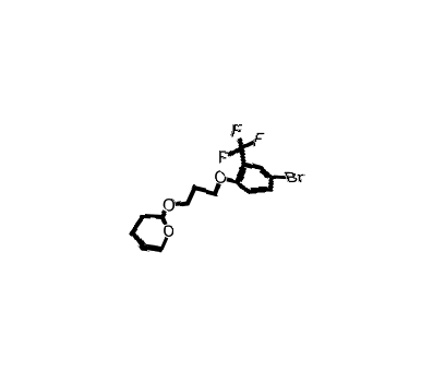 FC(F)(F)c1cc(Br)ccc1OCCCOC1CCCCO1